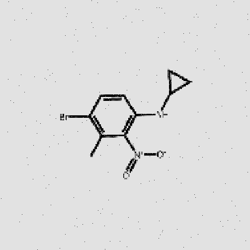 Cc1c(Br)ccc(NC2CC2)c1[N+](=O)[O-]